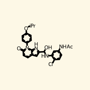 CC(=O)Nc1ccc(Cl)c(NC(O)c2cc3ccc(=O)n(-c4ccc(OC(C)C)cc4)c3[nH]2)c1